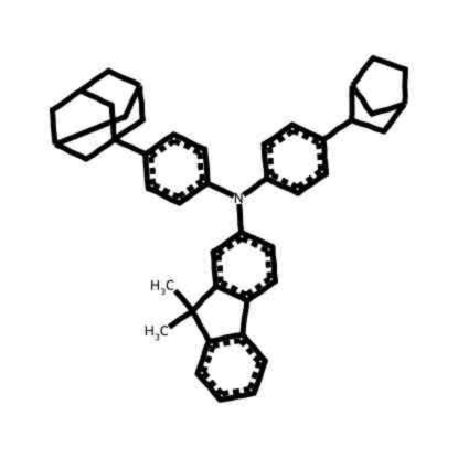 CC1(C)c2ccccc2-c2ccc(N(c3ccc(C4CC5CCC4C5)cc3)c3ccc(C45CC6CC(CC(C6)C4)C5)cc3)cc21